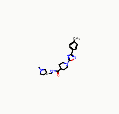 COc1ccc(-c2noc(N3CCC(C(=O)NC[C@H]4CCN(C)C4)CC3)n2)cc1